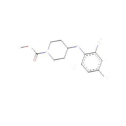 Cc1ccc(NC2CCN(C(=O)OC(C)(C)C)C[C@H]2O)c(N)c1